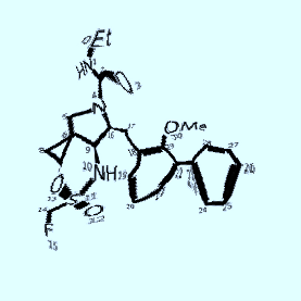 CCNC(=O)N1CC2(CC2)[C@H](NS(=O)(=O)CF)[C@@H]1Cc1cccc(-c2ccccc2)c1OC